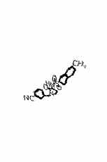 Cc1ccc2ccc(S(=O)(=O)N[C@H]3CCN(Cc4cccc(C#N)c4)C3=O)cc2c1